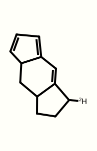 [2H]C1CCC2CC3C=CC=C3C=C12